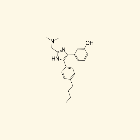 CCCCc1ccc(-c2[nH]c(CN(C)C)nc2-c2cccc(O)c2)cc1